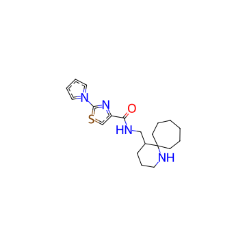 O=C(NCC1CCCNC12CCCCCC2)c1csc(-n2cccc2)n1